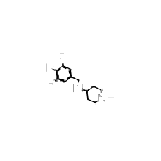 Fc1cc(CNC2CCNCC2)cc(F)c1F